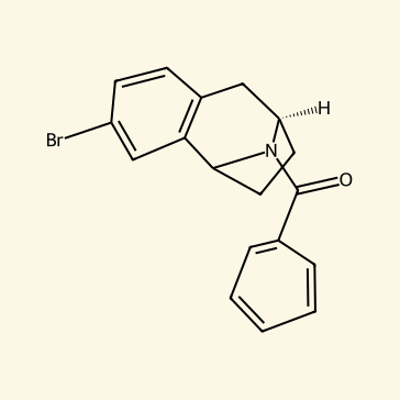 O=C(c1ccccc1)N1C2CC[C@@H]1Cc1ccc(Br)cc12